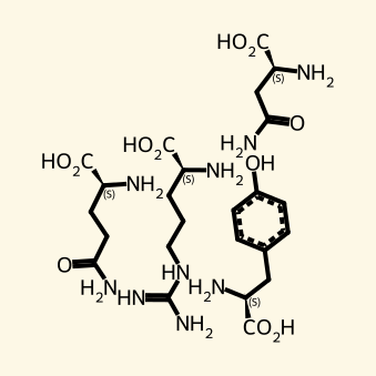 N=C(N)NCCC[C@H](N)C(=O)O.NC(=O)CC[C@H](N)C(=O)O.NC(=O)C[C@H](N)C(=O)O.N[C@@H](Cc1ccc(O)cc1)C(=O)O